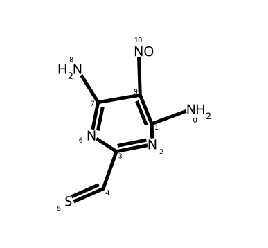 Nc1nc(C=S)nc(N)c1N=O